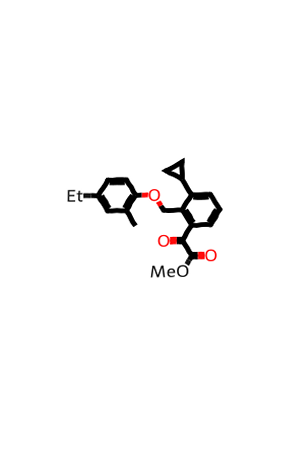 CCc1ccc(OCc2c(C(=O)C(=O)OC)cccc2C2CC2)c(C)c1